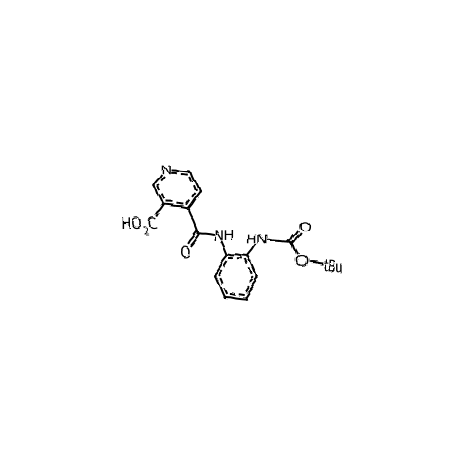 CC(C)(C)OC(=O)Nc1ccccc1NC(=O)c1ccncc1C(=O)O